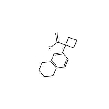 O=C(Cl)C1(c2ccc3c(c2)CCCC3)CCC1